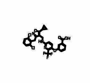 O=C(O)c1cccc(Oc2ccc(NCc3c(Cc4c(Cl)cccc4Cl)noc3C3CC3)nc2C(F)(F)F)c1